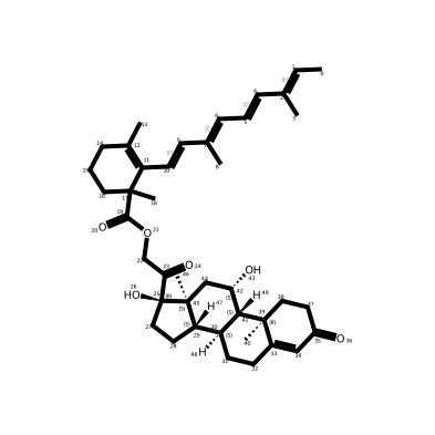 C/C=C(C)/C=C/C=C(C)/C=C/C1=C(C)CCCC1(C)C(=O)OCC(=O)[C@@]1(O)CC[C@H]2[C@@H]3CCC4=CC(=O)CC[C@]4(C)[C@H]3[C@@H](O)C[C@@]21C